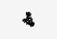 Cn1cc(N)c(-c2c(Sc3cccnc3)cccc2Sc2cccnc2)c1